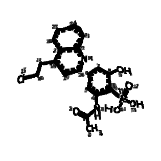 CC(=O)Nc1cccc(O)c1[As](=O)(O)O.ClCCc1ccnc2ccccc12